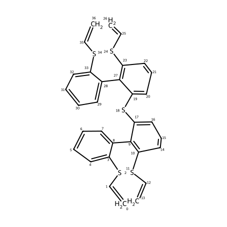 C=CSc1ccccc1-c1c(SC=C)cccc1Sc1cccc(SC=C)c1-c1ccccc1SC=C